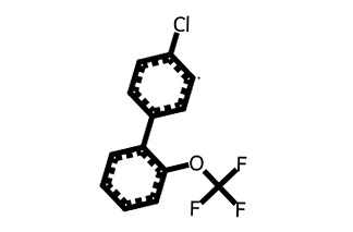 FC(F)(F)Oc1ccccc1-c1c[c]c(Cl)cc1